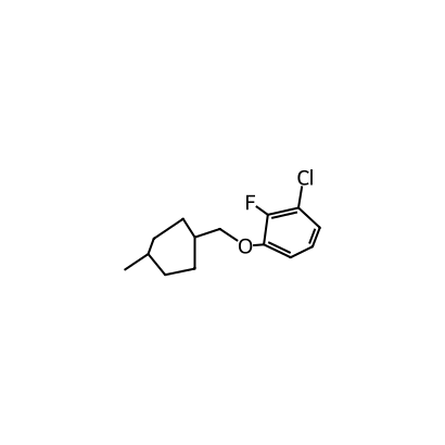 CC1CCC(COc2cccc(Cl)c2F)CC1